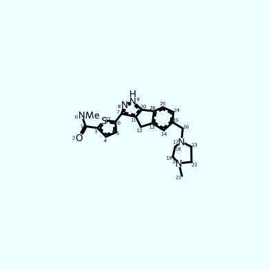 CNC(=O)c1ccc(-c2n[nH]c3c2Cc2cc(CN4CCN(C)CC4)ccc2-3)s1